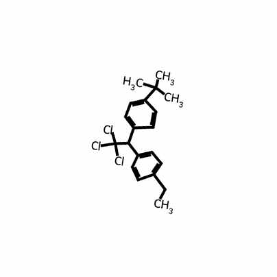 CCc1ccc(C(c2ccc(C(C)(C)C)cc2)C(Cl)(Cl)Cl)cc1